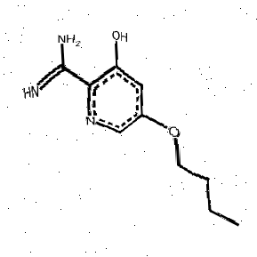 CCCCOc1cnc(C(=N)N)c(O)c1